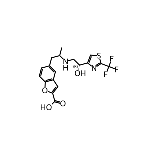 CC(Cc1ccc2oc(C(=O)O)cc2c1)NC[C@@H](O)c1csc(C(F)(F)F)n1